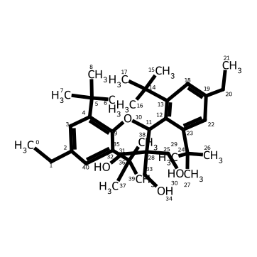 CCc1cc(C(C)(C)C)c(OC(c2c(C(C)(C)C)cc(CC)cc2C(C)(C)C)C(CO)(CO)CO)c(C(C)(C)C)c1